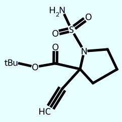 C#CC1(C(=O)OC(C)(C)C)CCCN1S(N)(=O)=O